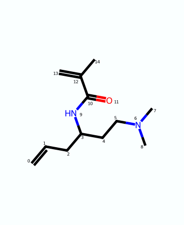 C=CCC(CCN(C)C)NC(=O)C(=C)C